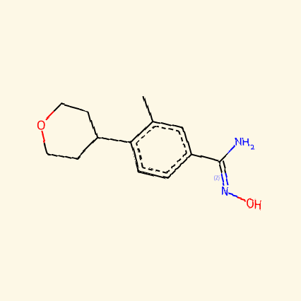 Cc1cc(/C(N)=N/O)ccc1C1CCOCC1